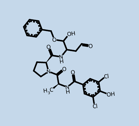 C[C@H](NC(=O)c1cc(Cl)c(O)c(Cl)c1)C(=O)N1CCC[C@H]1C(=O)NC(CC=O)C(O)OCc1ccccc1